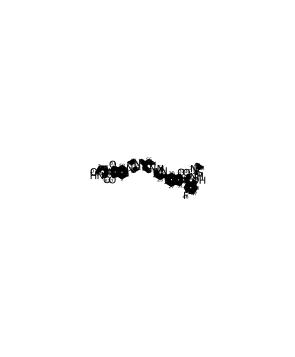 O=C1CCC(N2C(=O)c3ccc(N4CCN(CC5CCN(c6ccc(-c7ccc8c(c7)C(=O)N(C(C(=O)Nc7nccs7)c7cc(F)ccc7O)C8)nn6)CC5)CC4)cc3C2=O)C(=O)N1